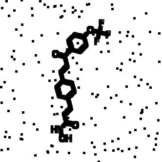 O=C(/C=C/c1ccc(/C=C/C(=O)c2ccc(OC(F)(F)F)cc2)cc1)NO